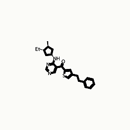 CC[C@H]1C[C@@H](Nc2ncncc2C(=O)c2cc(CCc3ccccc3)cs2)C[C@@H]1C